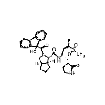 CS(=O)(=O)/C(F)=C\[C@H](C[C@H]1CCNC1=O)NC(=O)[C@H]1[C@H]2CCC[C@H]2CN1C(=O)C1(O)c2ccccc2-c2ccccc21